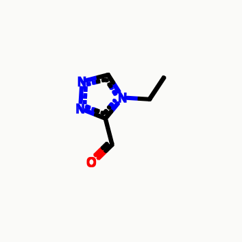 CCn1cnnc1C=O